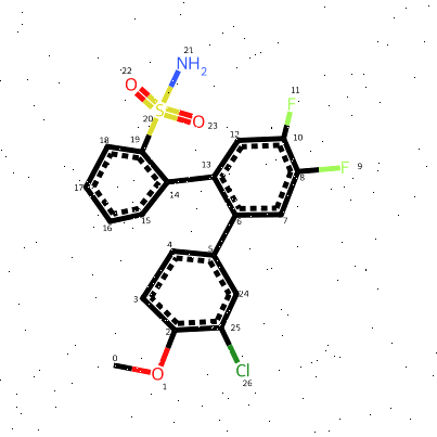 COc1ccc(-c2cc(F)c(F)cc2-c2ccccc2S(N)(=O)=O)cc1Cl